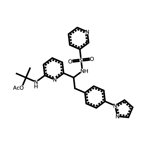 CC(=O)OC(C)(C)Nc1cccc(C(Cc2ccc(-n3cccn3)cc2)NS(=O)(=O)c2cccnc2)n1